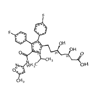 Cc1cc(NC(=O)c2c(-c3ccc(F)cc3)c(-c3ccc(F)cc3)c(CC[C@@H](O)C[C@@H](O)CC(=O)O)n2C(C)C)no1